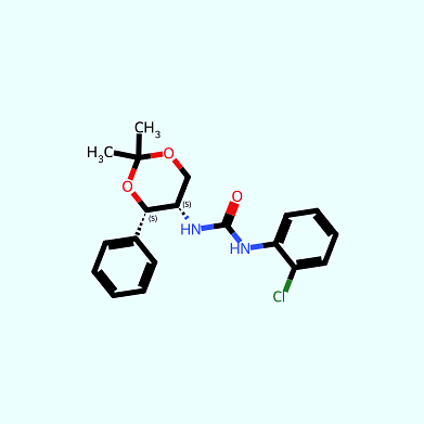 CC1(C)OC[C@H](NC(=O)Nc2ccccc2Cl)[C@H](c2ccccc2)O1